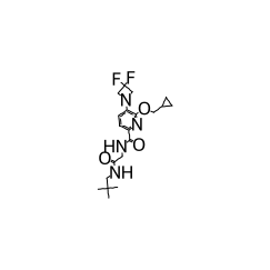 CC(C)(C)CNC(=O)CNC(=O)c1ccc(N2CC(F)(F)C2)c(OCC2CC2)n1